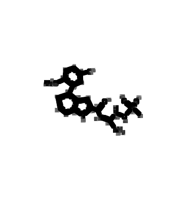 COc1ccc(Cl)cc1-c1cccc2sc(C(=O)N=C(N)NOS(C)(=O)=O)cc12